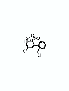 O=S(=O)=C1C(c2ccccc2CCl)=CC(Cl)=C[NH+]1[O-]